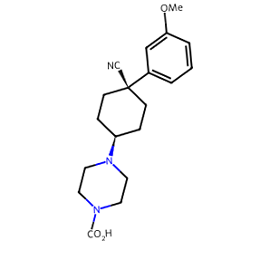 COc1cccc([C@]2(C#N)CC[C@@H](N3CCN(C(=O)O)CC3)CC2)c1